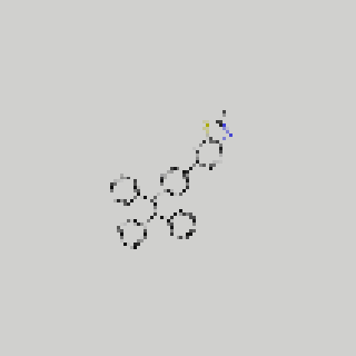 Cc1sc2cc(-c3ccc(C(=C(c4ccccc4)c4ccccc4)c4ccccc4)cc3)ccc2[n+]1C